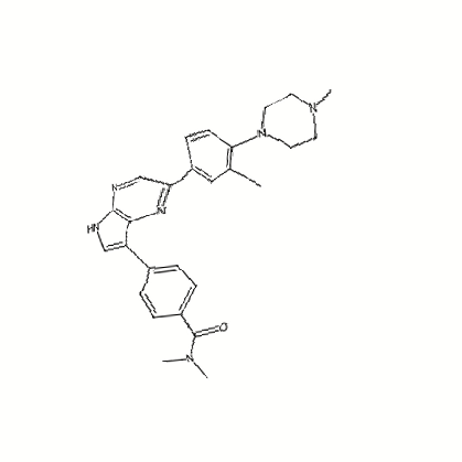 Cc1cc(-c2cnc3[nH]cc(-c4ccc(C(=O)N(C)C)cc4)c3n2)ccc1N1CCN(C)CC1